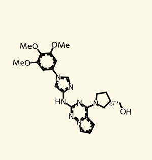 COc1cc(-n2cnc(Nc3nc(N4CC[C@H](CO)C4)c4cccn4n3)c2)cc(OC)c1OC